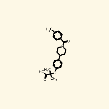 Cc1ccc(C(=O)N2CCC(c3ccc(OC(C)(C)C(=O)O)cc3)CC2)cc1